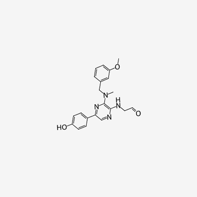 COc1cccc(CN(C)c2nc(-c3ccc(O)cc3)cnc2NCC=O)c1